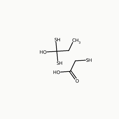 CCC(O)(S)S.O=C(O)CS